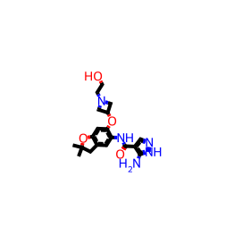 CC1(C)Cc2cc(NC(=O)c3cn[nH]c3N)c(OC3CN(CCO)C3)cc2O1